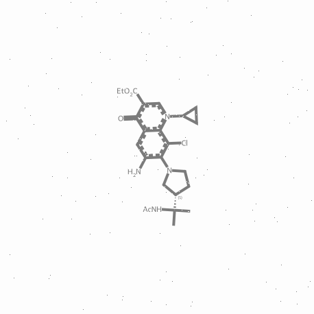 CCOC(=O)c1cn(C2CC2)c2c(Cl)c(N3CC[C@H](C(C)(C)NC(C)=O)C3)c(N)cc2c1=O